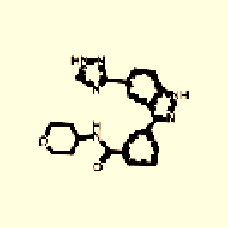 O=C(NC1CCOCC1)c1cccc(-c2n[nH]c3ccc(-c4nc[nH]n4)cc23)c1